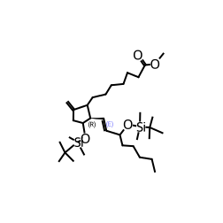 C=C1CC(O[Si](C)(C)C(C)(C)C)[C@H](/C=C/C(CCCCC)O[Si](C)(C)C(C)(C)C)C1CCCCCCC(=O)OC